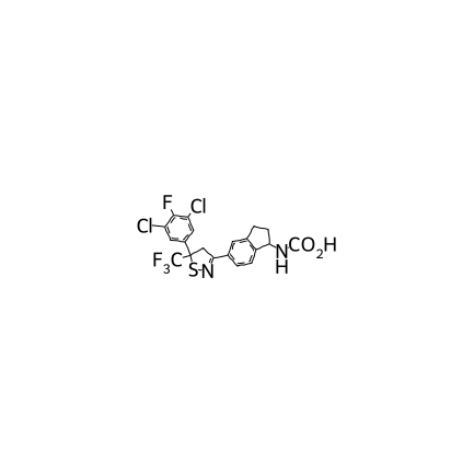 O=C(O)NC1CCc2cc(C3=NSC(c4cc(Cl)c(F)c(Cl)c4)(C(F)(F)F)C3)ccc21